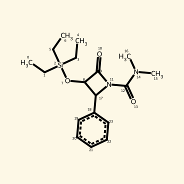 CC[Si](CC)(CC)OC1C(=O)N(C(=O)N(C)C)C1c1ccccc1